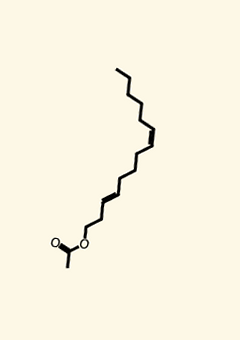 CCCCC/C=C\CCC/C=C/CCOC(C)=O